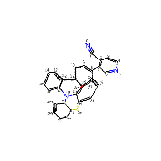 N#Cc1ccncc1C1=CCC(c2ccccc2N2c3ccccc3SC3C=CC=CC32)C=C1